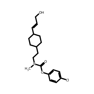 CN(CCC1CCC(/C=C/CO)CC1)C(=O)Oc1ccc(Cl)cc1